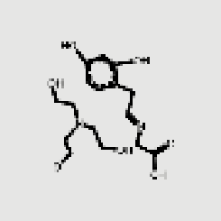 O=C(O)CN=CCc1ccc(O)cc1O.OCCN(CCO)CCO